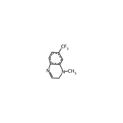 CN1CC=Nc2ccc(C(F)(F)F)cc21